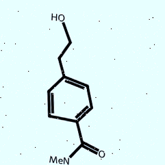 CNC(=O)c1ccc(CCO)cc1